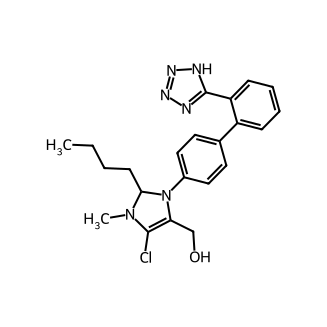 CCCCC1N(C)C(Cl)=C(CO)N1c1ccc(-c2ccccc2-c2nnn[nH]2)cc1